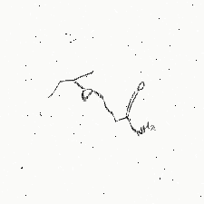 CCC(C)OCCC(N)=O